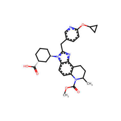 COC(=O)N1c2ccc3c(nc(Cc4ccc(OC5CC5)nc4)n3[C@@H]3CCC[C@@H](C(=O)O)C3)c2CCC1C